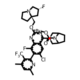 Cc1cc(C)c(C(F)(F)F)c(-c2c(Cl)cc3c(N4CC5CCC(C4)N5C(=O)OC(C)(C)C)nc(OC[C@@]45CCCN4C[C@H](F)C5)nc3c2F)n1